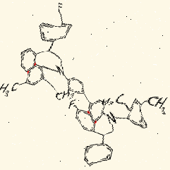 Cc1ccc(N(CC(c2ccccc2)c2ccc(F)cc2)c2ccc(-c3ccc(N(CC(c4ccccc4)c4ccc(F)cc4)c4ccc(C)cc4C)cc3)cc2)c(C)c1